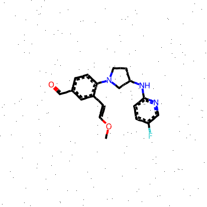 COC=Cc1cc(C=O)ccc1N1CCC(Nc2ccc(F)cn2)C1